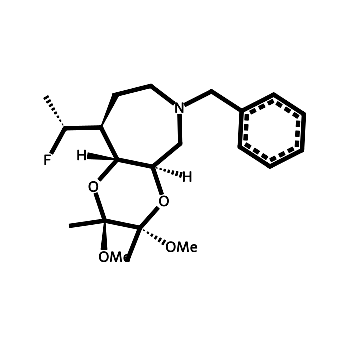 CO[C@@]1(C)O[C@@H]2[C@@H]([C@@H](C)F)CCN(Cc3ccccc3)C[C@H]2O[C@]1(C)OC